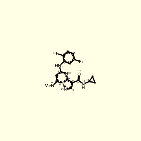 CNc1cc(Nc2cc(F)ccc2F)nc2c(C(=O)NC3CC3)cnn12